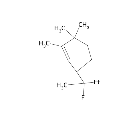 CCC(C)(F)C1C=C(C)C(C)(C)CC1